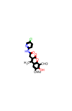 COc1cc2c(C)c(CC(=O)Nc3ccc(Cl)cn3)c(=O)oc2c(C=O)c1O